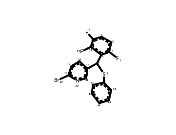 Fc1ccc(F)c(C(Sc2ccccc2)c2ccc(Br)nc2)c1F